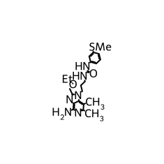 CCOCc1nc2c(N)nc(C)c(C)c2n1CCCNC(=O)Nc1cccc(SC)c1